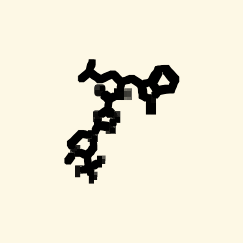 CC(C)CCC(Cc1c[nH]c2ccccc12)NC(=O)c1nnc(N2CCN(C)C(C(F)(F)F)C2)s1